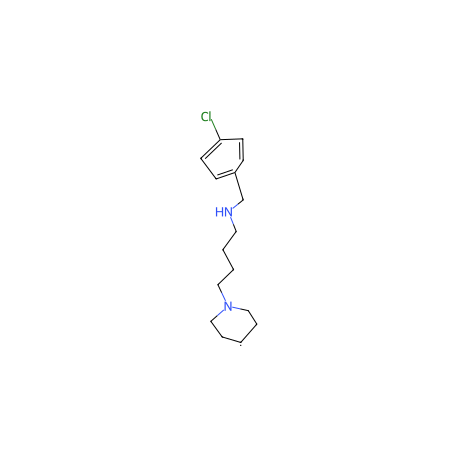 Clc1ccc(CNCCCCN2CC[CH]CC2)cc1